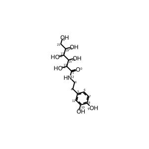 O=C(NCCc1ccc(O)c(O)c1)C(O)C(O)C(O)C(O)CO